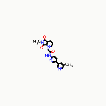 Cc1cncc(-c2ccc(NC(=O)CN3CCCC4=C3C(=O)N(C)C4=O)nc2)c1